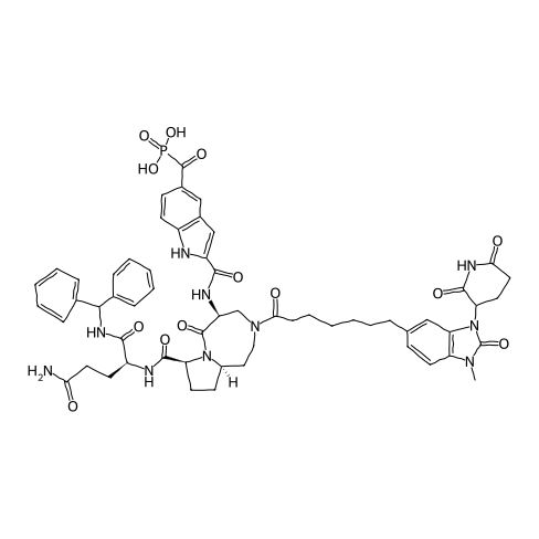 Cn1c(=O)n(C2CCC(=O)NC2=O)c2cc(CCCCCCC(=O)N3CC[C@H]4CC[C@@H](C(=O)N[C@@H](CCC(N)=O)C(=O)NC(c5ccccc5)c5ccccc5)N4C(=O)[C@@H](NC(=O)c4cc5cc(C(=O)P(=O)(O)O)ccc5[nH]4)C3)ccc21